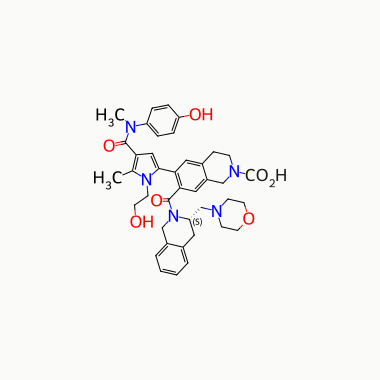 Cc1c(C(=O)N(C)c2ccc(O)cc2)cc(-c2cc3c(cc2C(=O)N2Cc4ccccc4C[C@H]2CN2CCOCC2)CN(C(=O)O)CC3)n1CCO